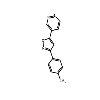 Cc1ccc(-c2noc(-c3ccnnc3)n2)cc1